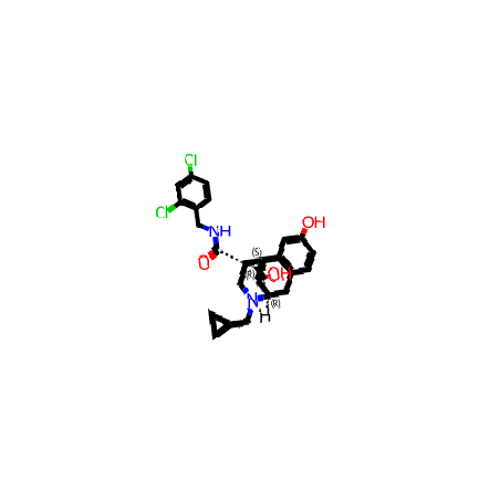 O=C(NCc1ccc(Cl)cc1Cl)[C@@H]1C[C@]23CCN(CC4CC4)[C@H](Cc4ccc(O)cc42)[C@]3(O)C1